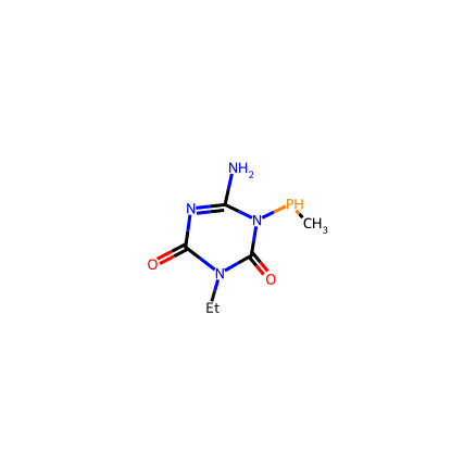 CCn1c(=O)nc(N)n(PC)c1=O